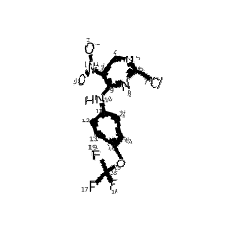 O=[N+]([O-])c1cnc(Cl)nc1Nc1ccc(OC(F)(F)F)cc1